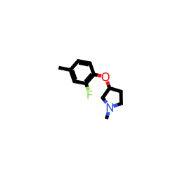 Cc1ccc(OC2CCN(C)C2)c(F)c1